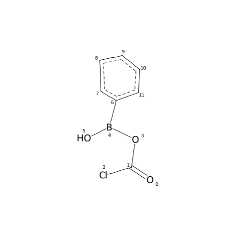 O=C(Cl)OB(O)c1ccccc1